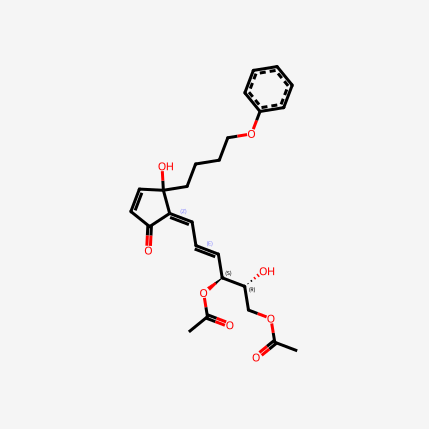 CC(=O)OC[C@@H](O)[C@H](/C=C/C=C1\C(=O)C=CC1(O)CCCCOc1ccccc1)OC(C)=O